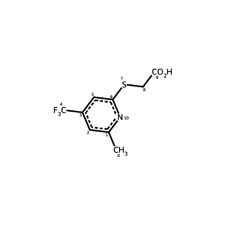 Cc1cc(C(F)(F)F)cc(SCC(=O)O)n1